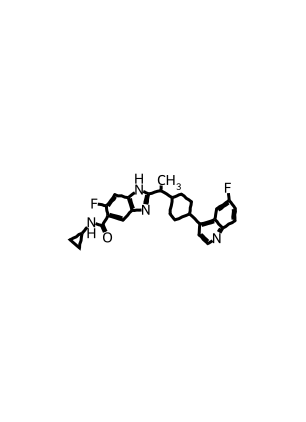 CC(c1nc2cc(C(=O)NC3CC3)c(F)cc2[nH]1)C1CCC(c2ccnc3ccc(F)cc23)CC1